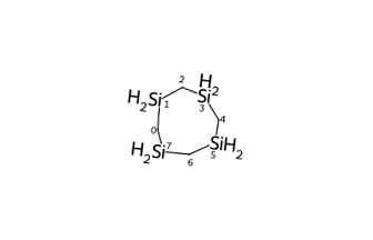 C1[SiH2]C[SiH2]C[SiH2]C[SiH2]1